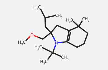 BC1(C)CCCC2=C1CC(COC)(CC(C)C)N2C(C)(C)C